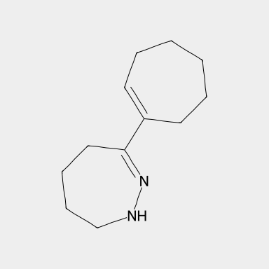 C1=C(C2=NNCCCC2)CCCCC1